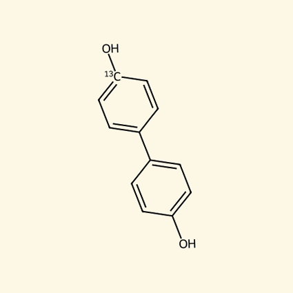 Oc1ccc(-c2cc[13c](O)cc2)cc1